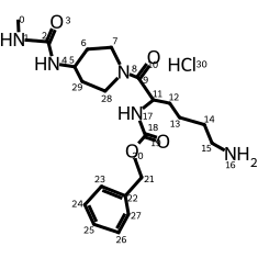 CNC(=O)NC1CCN(C(=O)C(CCCCN)NC(=O)OCc2ccccc2)CC1.Cl